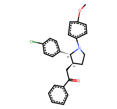 COc1ccc(N2CC[C@@H](CC(=O)c3ccccc3)[C@@H]2c2ccc(Cl)cc2)cc1